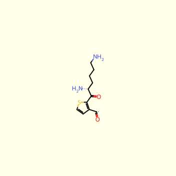 NCCCC[C@@H](N)C(=O)c1sccc1[C]=O